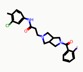 Cc1ccc(NC(=O)CCN2CC3CN(C(=O)c4ccccc4I)CC3C2)cc1Cl